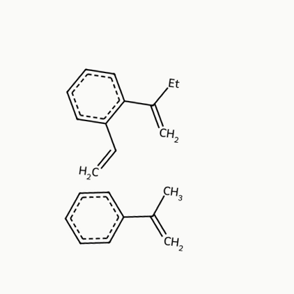 C=C(C)c1ccccc1.C=Cc1ccccc1C(=C)CC